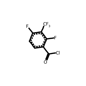 O=C(Cl)c1ccc(F)c(C(F)(F)F)c1F